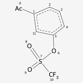 CC(=O)c1cccc(OS(=O)(=O)C(F)(F)F)c1